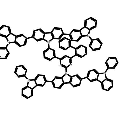 c1ccc(-c2ccccc2-c2cc(-c3cccc(-n4c5cc(-c6ccc7c(c6)c6ccccc6n7-c6ccccc6)ccc5c5ccc(-c6ccc7c(c6)c6ccccc6n7-c6ccccc6)cc54)c3)nc(-n3c4cc(-c5ccc6c(c5)c5ccccc5n6-c5ccccc5)ccc4c4ccc(-c5ccc6c(c5)c5ccccc5n6-c5ccccc5)cc43)n2)cc1